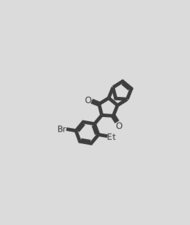 CCc1ccc(Br)cc1C1C(=O)C2C3C=CC(C3)C2C1=O